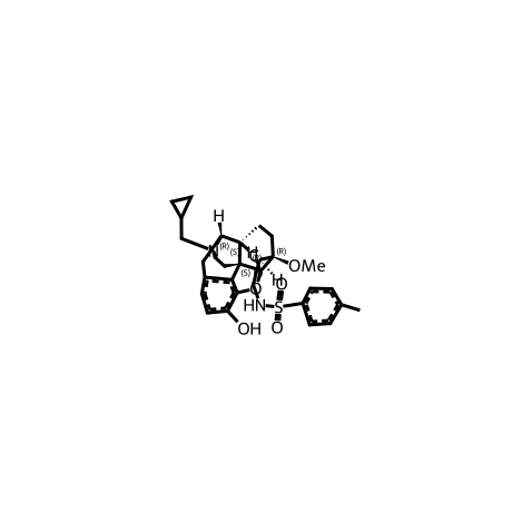 CO[C@]12CC[C@@]3(C[C@@H]1CNS(=O)(=O)c1ccc(C)cc1)[C@H]1Cc4ccc(O)c5c4[C@@]3(CCN1CC1CC1)[C@H]2O5